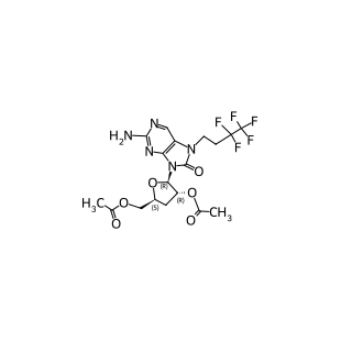 CC(=O)OC[C@@H]1C[C@@H](OC(C)=O)[C@H](n2c(=O)n(CCC(F)(F)C(F)(F)F)c3cnc(N)nc32)O1